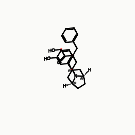 O=C(CO)N(CCN1[C@@H]2CC[C@H]1C[C@@H](c1cccc(O)c1)C2)Cc1ccccc1